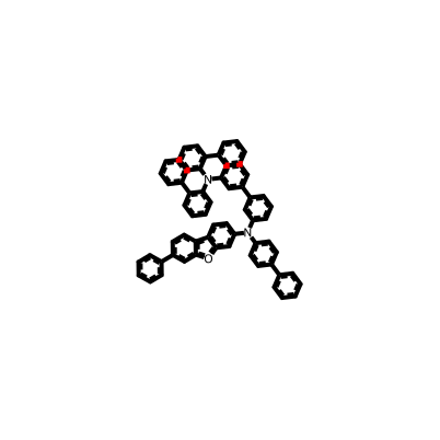 c1ccc(-c2ccc(N(c3cccc(-c4cccc(N(c5ccccc5-c5ccccc5)c5ccccc5-c5ccccc5)c4)c3)c3ccc4c(c3)oc3cc(-c5ccccc5)ccc34)cc2)cc1